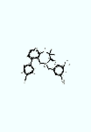 CC1(C)Oc2nccc(-c3ccc(F)cc3)c2CN(Cc2cc(C(F)(F)F)cc(C(F)(F)F)c2)C1=O